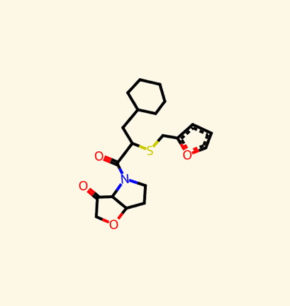 O=C1COC2CCN(C(=O)C(CC3CCCCC3)SCc3ccco3)C12